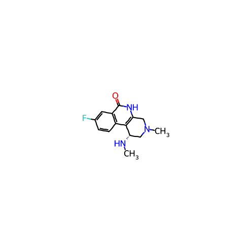 CN[C@H]1CN(C)Cc2[nH]c(=O)c3cc(F)ccc3c21